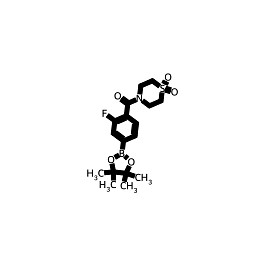 CC1(C)OB(c2ccc(C(=O)N3CCS(=O)(=O)CC3)c(F)c2)OC1(C)C